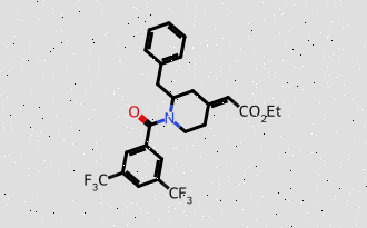 CCOC(=O)C=C1CCN(C(=O)c2cc(C(F)(F)F)cc(C(F)(F)F)c2)C(Cc2ccccc2)C1